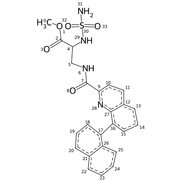 COC(=O)C(CNC(=O)c1ccc2cccc(-c3cccc4ccccc34)c2n1)NS(N)(=O)=O